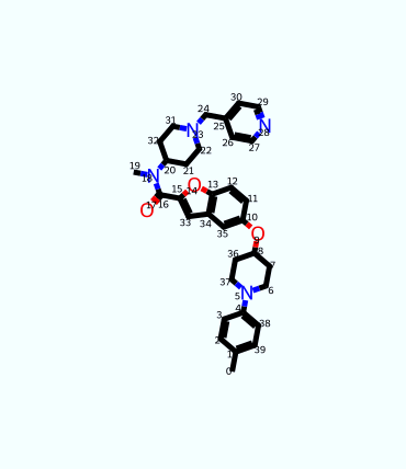 Cc1ccc(N2CCC(Oc3ccc4oc(C(=O)N(C)C5CCN(Cc6ccncc6)CC5)cc4c3)CC2)cc1